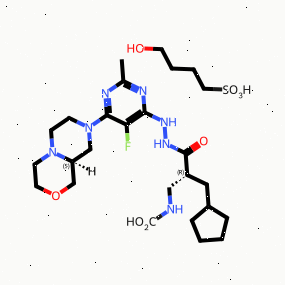 Cc1nc(NNC(=O)[C@@H](CNC(=O)O)CC2CCCC2)c(F)c(N2CCN3CCOC[C@@H]3C2)n1.O=S(=O)(O)CCCCO